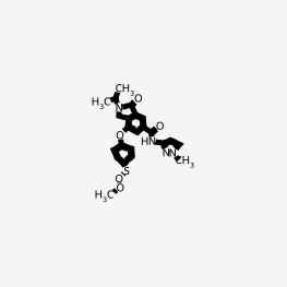 COOSc1ccc(Oc2cc(C(=O)Nc3ccn(C)n3)cc3c2CN(C(C)C)C3=O)cc1